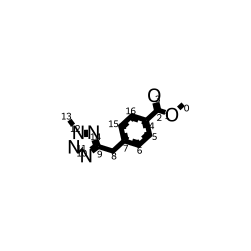 COC(=O)c1ccc(Cc2nnn(C)n2)cc1